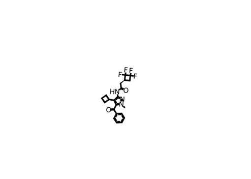 Cn1nc(NC(=O)C[C@@H]2CC(F)(F)C2(F)F)c(C2CCC2)c1C(=O)c1ccccc1